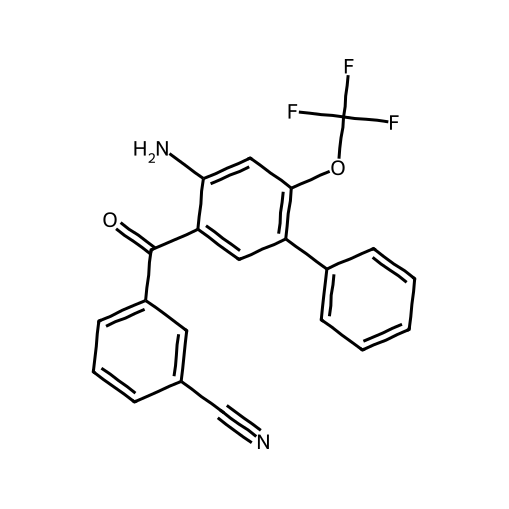 N#Cc1cccc(C(=O)c2cc(-c3ccccc3)c(OC(F)(F)F)cc2N)c1